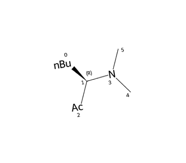 CCCC[C@H](C(C)=O)N(C)C